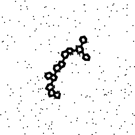 c1ccc(-c2cc(-c3ccccc3)nc(-c3ccc4ccc(-c5ccc6nc(-c7ccc(-c8ccc9ccc%10cccnc%10c9n8)c8ccccc78)ccc6c5)cc4n3)n2)cc1